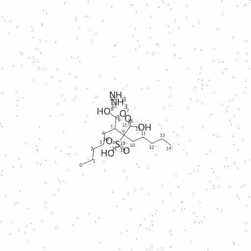 CCCCCC(C(=O)O)C(CCCCC)(C(=O)O)S(=O)(=O)O.N.N